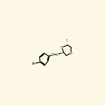 C[C@@H]1COC[C@@H](COc2ccc(Br)cc2)O1